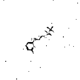 Cc1cccc(NCCO[Si](C)(C)C(C)(C)C)n1